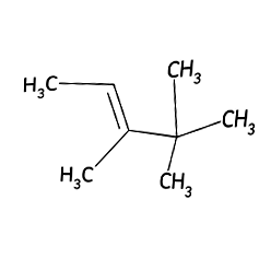 C/C=C(\C)C(C)(C)C